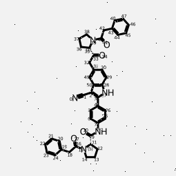 N#Cc1c(-c2ccc(NC(=O)[C@@H]3CCCN3C(=O)Cc3ccccc3)cc2)[nH]c2ccc(CC(=O)[C@@H]3CCCN3C(=O)Cc3ccccc3)cc12